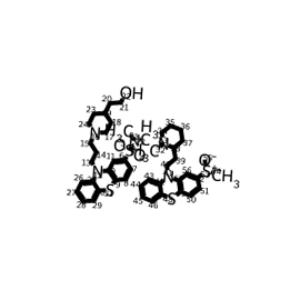 CN(C)S(=O)(=O)c1ccc2c(c1)N(CCCN1CCC(CCO)CC1)c1ccccc1S2.CN1CCCCC1CCN1c2ccccc2Sc2ccc([S+](C)[O-])cc21